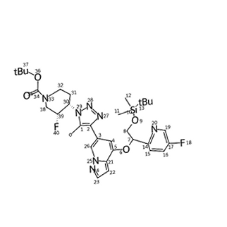 Cc1c(-c2cc(OC(CO[Si](C)(C)C(C)(C)C)c3ccc(F)cn3)c3ccnn3c2)nnn1[C@H]1CCN(C(=O)OC(C)(C)C)C[C@H]1F